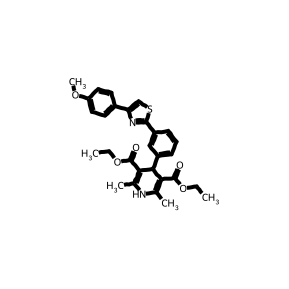 CCOC(=O)C1=C(C)NC(C)=C(C(=O)OCC)C1c1cccc(-c2nc(-c3ccc(OC)cc3)cs2)c1